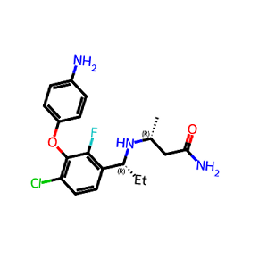 CC[C@@H](N[C@H](C)CC(N)=O)c1ccc(Cl)c(Oc2ccc(N)cc2)c1F